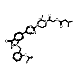 CC(C)CC(=O)OCC(=O)N1CCN(c2ncc(-c3ccc4c(=O)n(C)n(Cc5ccccc5OC(F)F)c4c3)cn2)C[C@H]1C